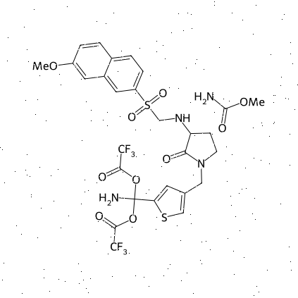 COC(N)=O.COc1ccc2ccc(S(=O)(=O)CNC3CCN(Cc4csc(C(N)(OC(=O)C(F)(F)F)OC(=O)C(F)(F)F)c4)C3=O)cc2c1